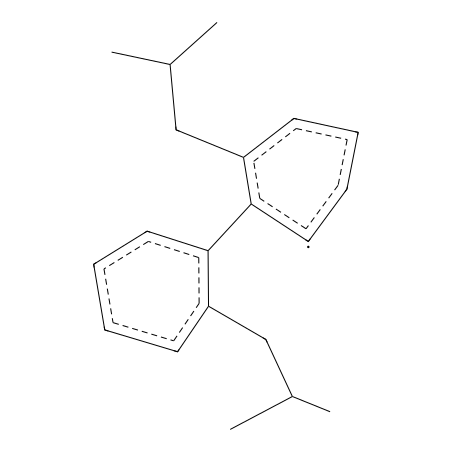 CC(C)Cc1ccc[c]c1-c1ccccc1CC(C)C